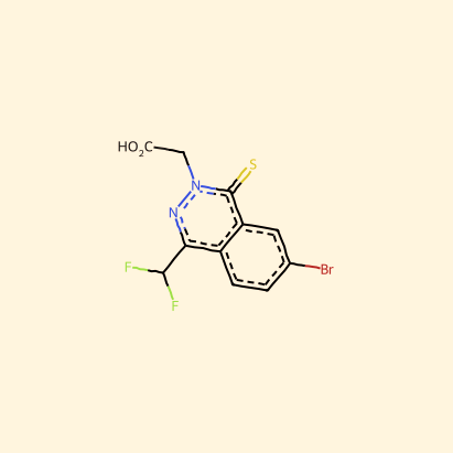 O=C(O)Cn1nc(C(F)F)c2ccc(Br)cc2c1=S